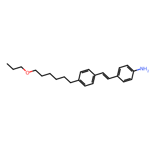 CCCOCCCCCCc1ccc(/C=C/c2ccc(N)cc2)cc1